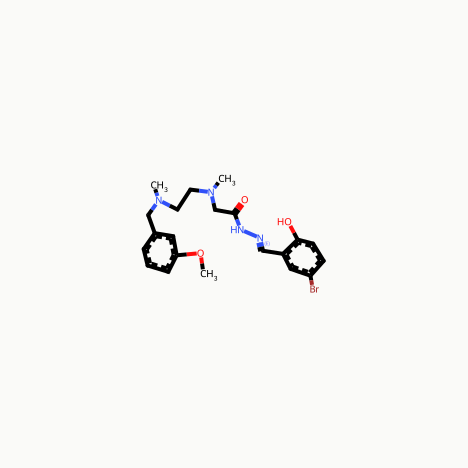 COc1cccc(CN(C)CCN(C)CC(=O)N/N=C/c2cc(Br)ccc2O)c1